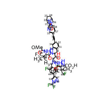 COC(=O)NC(C(=O)NC(Cc1ccc(C#Cc2ccc(N3CC4CCC(C3)N4C3COC3)nc2)cc1)C(O)CN(Cc1c(F)cc(-c2cnn(C(F)F)c2)cc1F)NC(=O)C(NC(=O)O)C(C)(C)CF)C(C)(C)C(F)(F)F